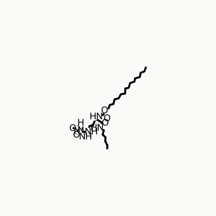 CCCCCCCCCCCCCCCCOC(=O)N[C@@H](CCCNC(=N)N[N+](=O)[O-])C(=O)NCCCCCC